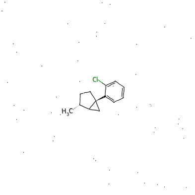 C[C@@H]1CC[C@]2(c3ccccc3Cl)CC12